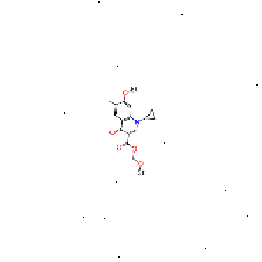 CCOCOC(=O)c1cn(C2CC2)c2cc(OCC)c(F)cc2c1=O